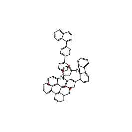 c1ccc(-c2cccc3cccc(-c4ccccc4N(c4ccc(-c5ccc(-c6cccc7ccccc67)cc5)cc4)c4cccc(-c5cccc6c7ccccc7n(-c7ccccc7)c56)c4)c23)cc1